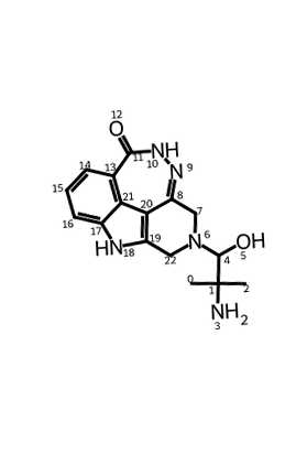 CC(C)(N)C(O)N1CC2=NNC(=O)c3cccc4[nH]c(c2c34)C1